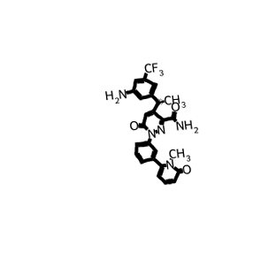 C[C@H](c1cc(N)cc(C(F)(F)F)c1)c1cc(=O)n(-c2cccc(-c3cccc(=O)n3C)c2)nc1C(N)=O